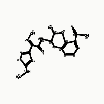 CNc1nc(C(=NO)C(=O)NC2Cc3cccc(C(=O)O)c3OB2O)cs1